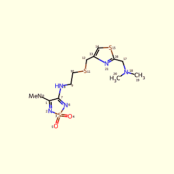 CNC1=NS(=O)(=O)N=C1NCCSCc1csc(CN(C)C)n1